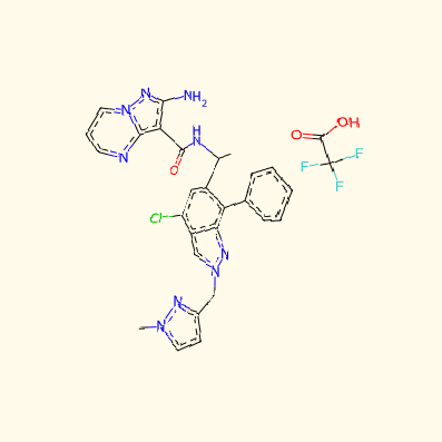 CC(NC(=O)c1c(N)nn2cccnc12)c1cc(Cl)c2cn(Cc3ccn(C)n3)nc2c1-c1ccccc1.O=C(O)C(F)(F)F